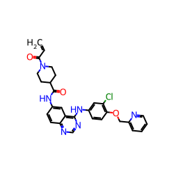 C=CC(=O)N1CCC(C(=O)Nc2ccc3ncnc(Nc4ccc(OCc5ccccn5)c(Cl)c4)c3c2)CC1